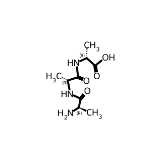 C[C@@H](N)C(=O)N[C@H](C)C(=O)N[C@H](C)C(=O)O